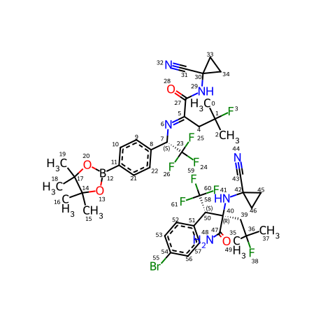 CC(C)(F)CC(=N[C@@H](c1ccc(B2OC(C)(C)C(C)(C)O2)cc1)C(F)(F)F)C(=O)NC1(C#N)CC1.CC(C)(F)C[C@](NC1(C#N)CC1)(C(N)=O)[C@H](c1ccc(Br)cc1)C(F)(F)F